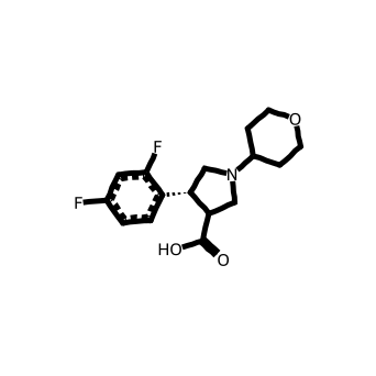 O=C(O)C1CN(C2CCOCC2)C[C@H]1c1ccc(F)cc1F